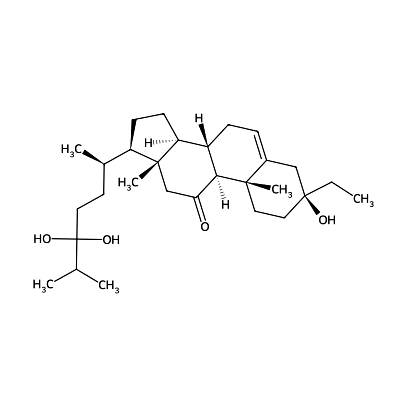 CC[C@]1(O)CC[C@@]2(C)C(=CC[C@H]3[C@@H]4CC[C@H]([C@H](C)CCC(O)(O)C(C)C)[C@@]4(C)CC(=O)[C@@H]32)C1